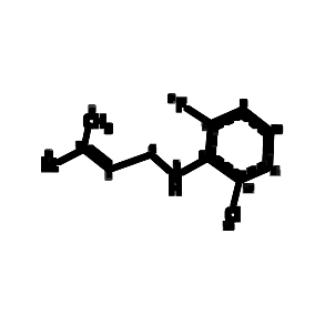 CCC(C)=CCNc1c(F)cccc1Cl